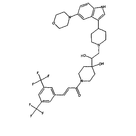 O=C(C=Cc1cc(C(F)(F)F)cc(C(F)(F)F)c1)N1CCC(O)(C(O)CN2CCC(c3c[nH]c4ccc(N5CCOCC5)cc34)CC2)CC1